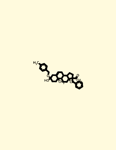 CC(=O)C1(Cc2ccccc2)CCC2C3CC=C4CC(O)(OCc5ccc(C)cc5)CCC4(C)C3CCC21C